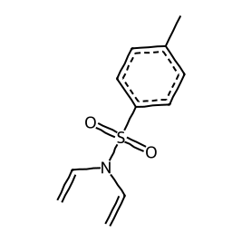 C=CN(C=C)S(=O)(=O)c1ccc(C)cc1